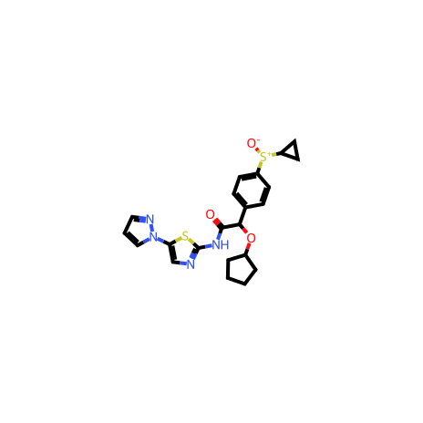 O=C(Nc1ncc(-n2cccn2)s1)C(OC1CCCC1)c1ccc([S+]([O-])C2CC2)cc1